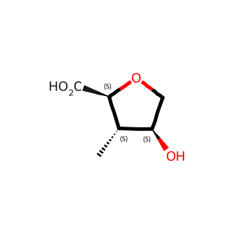 C[C@H]1[C@H](O)CO[C@@H]1C(=O)O